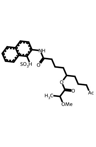 COC(C)C(=O)OC(CCCC(C)=O)CCCC(=O)Nc1ccc2ccccc2c1S(=O)(=O)O